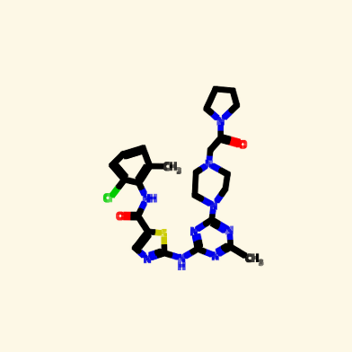 Cc1nc(Nc2ncc(C(=O)Nc3c(C)cccc3Cl)s2)nc(N2CCN(CC(=O)N3CCCC3)CC2)n1